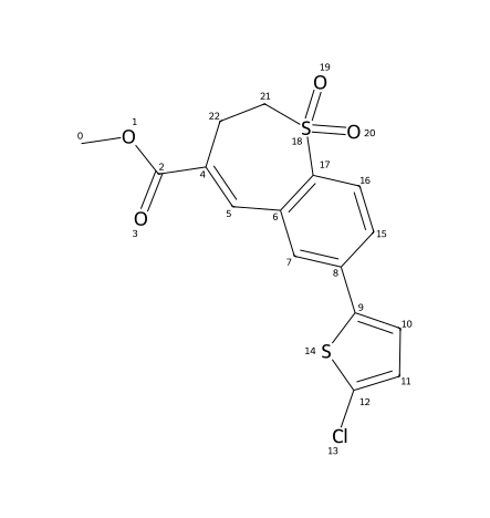 COC(=O)C1=Cc2cc(-c3ccc(Cl)s3)ccc2S(=O)(=O)CC1